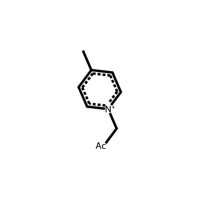 CC(=O)C[n+]1ccc(C)cc1